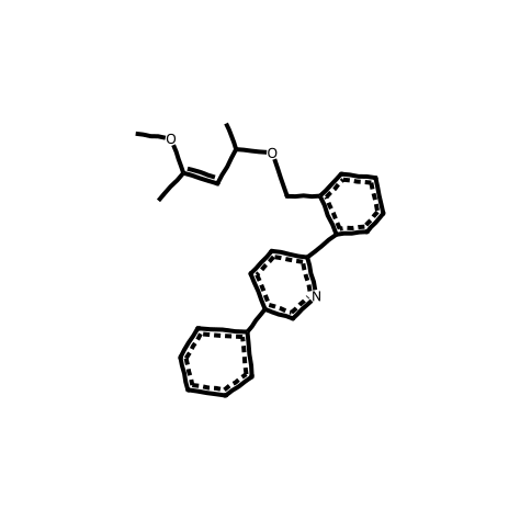 CO/C(C)=C\C(C)OCc1ccccc1-c1ccc(-c2ccccc2)cn1